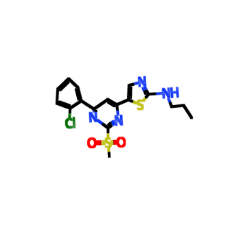 CCCNc1ncc(-c2cc(-c3ccccc3Cl)nc(S(C)(=O)=O)n2)s1